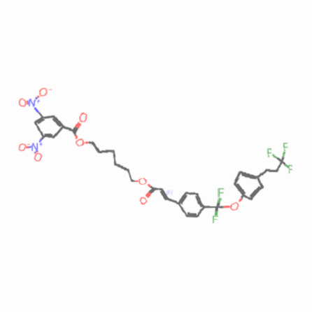 O=C(/C=C/c1ccc(C(F)(F)Oc2ccc(CCC(F)(F)F)cc2)cc1)OCCCCCCOC(=O)c1cc([N+](=O)[O-])cc([N+](=O)[O-])c1